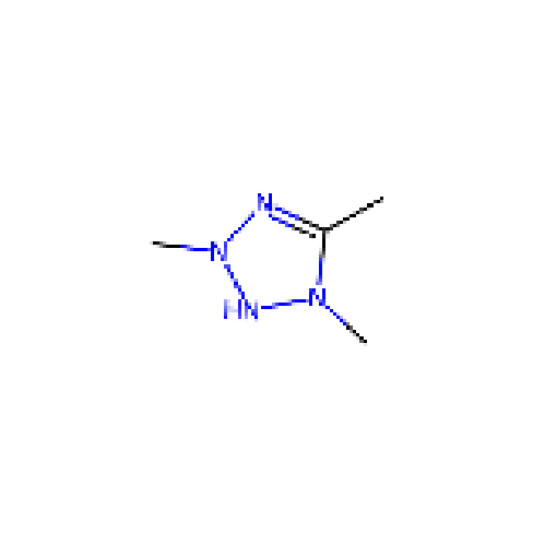 CC1=NN(C)NN1C